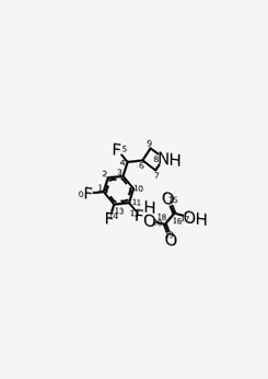 Fc1cc(C(F)C2CNC2)cc(F)c1F.O=C(O)C(=O)O